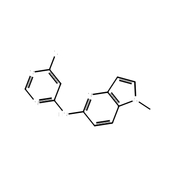 Cn1ccc2nc(Nc3cc(N)ncn3)ccc21